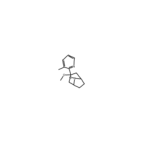 COC1(c2ncccc2C)CC2CCC(C1)N2Cl